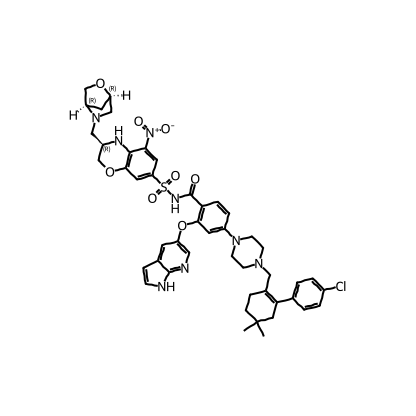 CC1(C)CCC(CN2CCN(c3ccc(C(=O)NS(=O)(=O)c4cc5c(c([N+](=O)[O-])c4)N[C@H](CN4C[C@H]6C[C@@H]4CO6)CO5)c(Oc4cnc5[nH]ccc5c4)c3)CC2)=C(c2ccc(Cl)cc2)C1